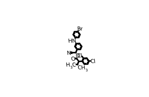 CC(C)C(C(=O)OC(C#N)c1cccc(Nc2ccc(Br)cc2)c1)c1ccc(Cl)cc1Cl